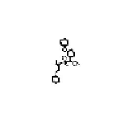 CC1(C)C(/C=C/c2ccccc2)C1C(=O)OC(C#N)c1cccc(Oc2ccccc2)c1